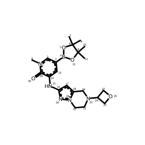 Cn1cc(B2OC(C)(C)C(C)(C)O2)cc(Nc2cc3n(n2)CCN(C2COC2)C3)c1=O